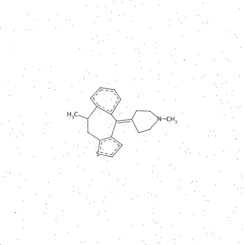 CC1Cc2sccc2C(=C2CCN(C)CC2)c2ccccc21